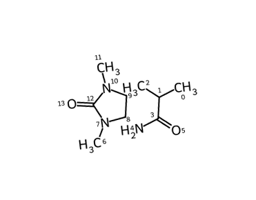 CC(C)C(N)=O.CN1CCN(C)C1=O